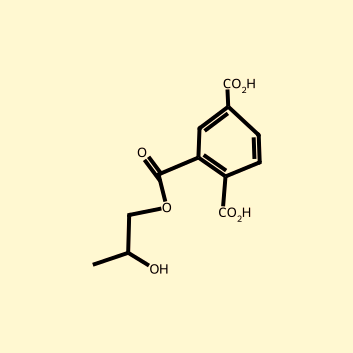 CC(O)COC(=O)c1cc(C(=O)O)ccc1C(=O)O